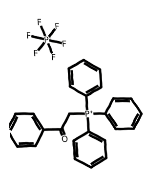 F[P-](F)(F)(F)(F)F.O=C(C[P+](c1ccccc1)(c1ccccc1)c1ccccc1)c1ccccc1